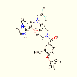 Cc1cc(C(=O)N2CCC3(CC2)CN(CC(F)F)CC(c2nccn2C)O3)ccc1OC(C)C